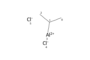 C[CH](C)[Al+2].[Cl-].[Cl-]